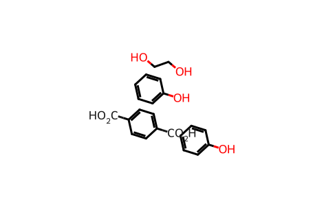 O=C(O)c1ccc(C(=O)O)cc1.OCCO.Oc1ccccc1.Oc1ccccc1